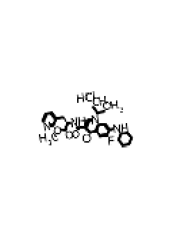 CCC(CC)n1cc(C(=O)N[C@H](Cc2cccnc2)C(=O)OC)c(=O)c2cc(F)c(NC3CCCCC3)cc21.Cl